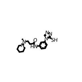 CN(CCC(=O)Nc1cccc(-n2cnnc2S)c1)N1CCCCC1